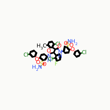 Cc1ccc(Cl)c(C(C(=O)Nc2ccc(Oc3cccc(Cl)c3)c(S(N)(=O)=O)c2)C(C(=O)Nc2ccc(Oc3cccc(Cl)c3)c(S(N)(=O)=O)c2)c2cccc(F)c2Cl)c1